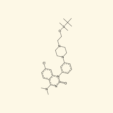 CN(C)c1nc(=O)n(-c2cccc(N3CCN(CCO[Si](C)(C)C(C)(C)C)CC3)c2)c2cc(Cl)ccc12